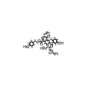 CCCC[C@@H](C(=O)NCCC(C)C)N1CC2N(C(=O)OCCc3ccc(O)cc3)O[C@H](CC(C)C)C(=O)N2[C@@H](Cc2ccc(O)cc2)C1=O